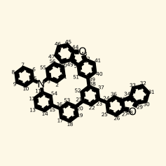 c1ccc(N(c2ccccc2)c2cccc(-c3cccc(-c4cc(-c5ccc6oc7ccccc7c6c5)cc(-c5ccc6oc7ccccc7c6c5)c4)c3)c2)cc1